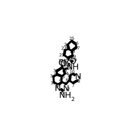 Nc1nc2c(c(-c3ccncc3)n1)-c1cc(NS(=O)(=O)c3ccc4ccccc4c3)c(Cl)cc1CC2